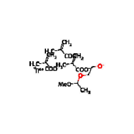 C=C(C)C(=O)[O-].C=C(C)C(=O)[O-].C=C(C)C(=O)[O-].COC(C)OCC[O-].[Ti+4]